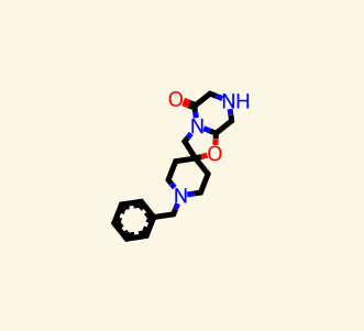 O=C1CNCC2OC3(CCN(Cc4ccccc4)CC3)CN12